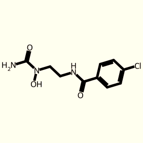 NC(=O)N(O)CCNC(=O)c1ccc(Cl)cc1